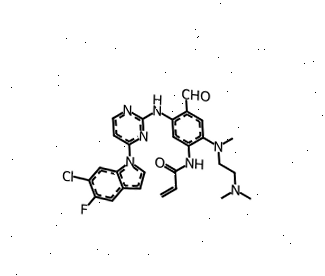 C=CC(=O)Nc1cc(Nc2nccc(-n3ccc4cc(F)c(Cl)cc43)n2)c(C=O)cc1N(C)CCN(C)C